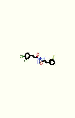 O=C(/C=C/c1cccc(F)c1)NNC(=O)/C=C/c1ccc(Cl)c(Cl)c1